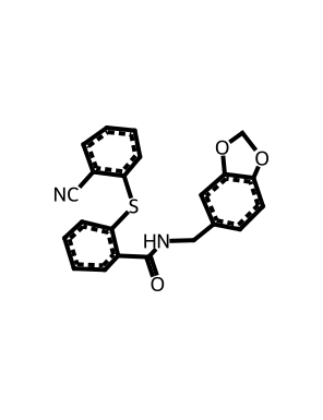 N#Cc1ccccc1Sc1ccccc1C(=O)NCc1ccc2c(c1)OCO2